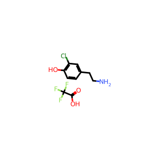 NCCc1ccc(O)c(Cl)c1.O=C(O)C(F)(F)F